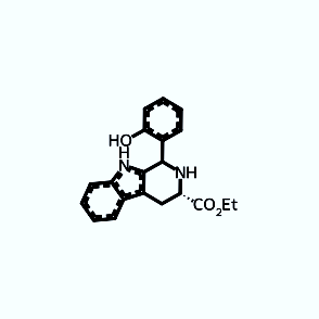 CCOC(=O)[C@@H]1Cc2c([nH]c3ccccc23)C(c2ccccc2O)N1